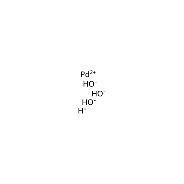 [H+].[OH-].[OH-].[OH-].[Pd+2]